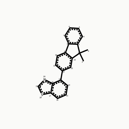 CC1(C)c2ccccc2-c2ccc(-c3cccc4scnc34)cc21